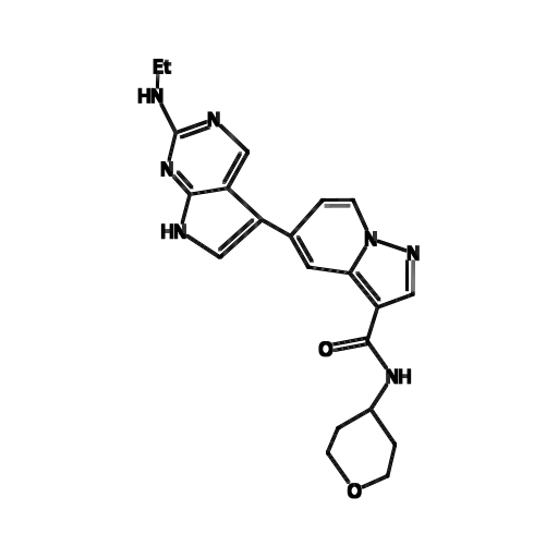 CCNc1ncc2c(-c3ccn4ncc(C(=O)NC5CCOCC5)c4c3)c[nH]c2n1